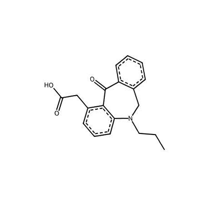 CCCN1Cc2ccccc2C(=O)c2c(CC(=O)O)cccc21